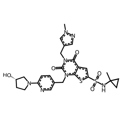 Cn1cc(Cn2c(=O)c3cc(S(=O)(=O)NC4(C)CC4)sc3n(Cc3ccc(N4CC[C@H](O)C4)nc3)c2=O)cn1